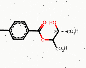 Cc1ccc(C(=O)OC(C(=O)O)[C@H](O)C(=O)O)cc1